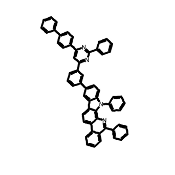 c1ccc(-c2ccc(-c3cc(-c4cccc(-c5ccc6c(c5)c5ccc7c8ccccc8c(-c8ccccc8)nc7c5n6-c5ccccc5)c4)nc(-c4ccccc4)n3)cc2)cc1